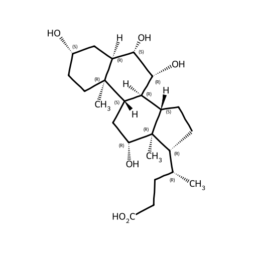 C[C@H](CCC(=O)O)[C@H]1CC[C@H]2[C@@H]3[C@@H](O)[C@@H](O)[C@@H]4C[C@@H](O)CC[C@]4(C)[C@H]3C[C@@H](O)[C@]12C